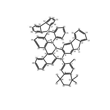 Cc1cc2c(cc1N1c3cc4oc5ccccc5c4cc3B3c4c1cc1ccccc1c4-c1cccc4c1N3c1ccccc1[Si]41c3ccccc3-c3ccccc31)C(C)(C)CCC2(C)C